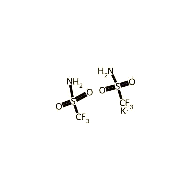 NS(=O)(=O)C(F)(F)F.NS(=O)(=O)C(F)(F)F.[K]